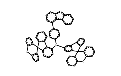 c1ccc2c(c1)Oc1ccccc1C21c2ccccc2-c2cc(N(c3ccc(-c4cccc5sc6ccccc6c45)cc3)c3cccc4c3-c3ccccc3C43c4ccccc4Sc4ccccc43)ccc21